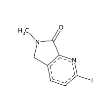 CN1Cc2ccc(I)nc2C1=O